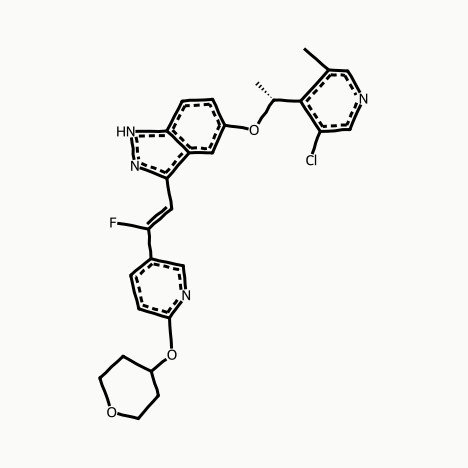 Cc1cncc(Cl)c1[C@@H](C)Oc1ccc2[nH]nc(/C=C(\F)c3ccc(OC4CCOCC4)nc3)c2c1